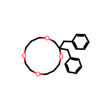 c1ccc(CC2(Cc3ccccc3)COCCCOCCOCCCO2)cc1